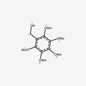 COc1c(CO)c(OC)c(OC)c(OC)c1OC